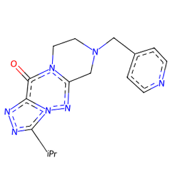 CC(C)c1nnc2c(=O)n3c(nn12)CN(Cc1ccncc1)CC3